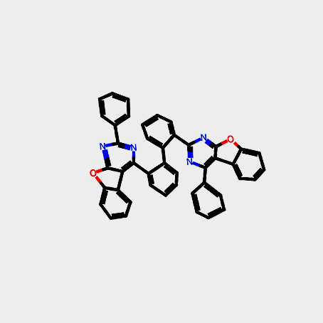 c1ccc(-c2nc(-c3ccccc3-c3ccccc3-c3nc(-c4ccccc4)c4c(n3)oc3ccccc34)c3c(n2)oc2ccccc23)cc1